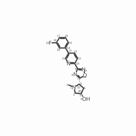 CN1C[C@H](O)C[C@H]1c1nc(-c2ccc(-c3cccc(F)c3)cn2)no1